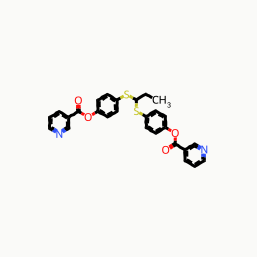 CCC(Sc1ccc(OC(=O)c2cccnc2)cc1)Sc1ccc(OC(=O)c2cccnc2)cc1